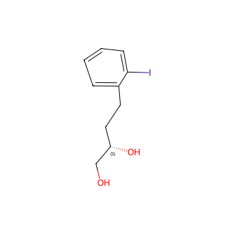 OC[C@@H](O)CCc1ccccc1I